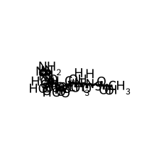 CC(=O)CC(O)C(=O)SCCNC(=O)CCNC(=O)[C@H](O)C(C)(C)COP(=O)(O)OP(=O)(O)OC[C@H]1O[C@@H](n2cnc3c(N)ncnc32)[C@H](O)[C@@H]1OP(=O)(O)O